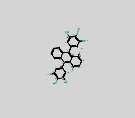 Fc1cc(-c2c3ccccc3c(-c3cc(F)c(F)c(F)c3)c3c(F)ccc(F)c23)cc(F)c1F